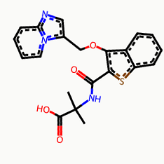 CC(C)(NC(=O)c1sc2ccccc2c1OCc1cnc2ccccn12)C(=O)O